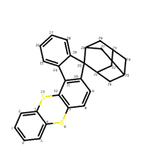 c1ccc2c(c1)Sc1ccc3c(c1S2)-c1ccccc1C31C2CC3CC(C2)CC1C3